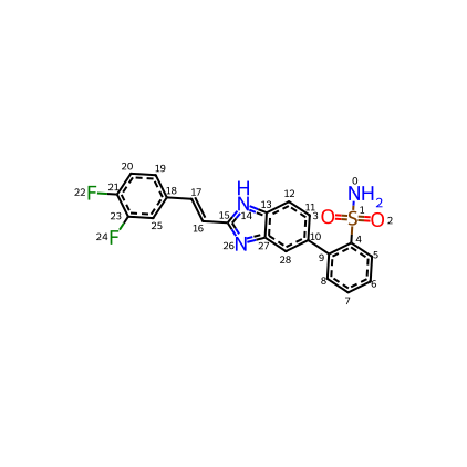 NS(=O)(=O)c1ccccc1-c1ccc2[nH]c(/C=C/c3ccc(F)c(F)c3)nc2c1